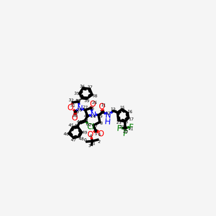 CC(C)(C)OC(=O)CCC(C(=O)NCc1cccc(C(F)(F)F)c1)N1C(=O)C(N2C(=O)OC[C@@H]2c2ccccc2)C1C(Cl)=Cc1ccccc1